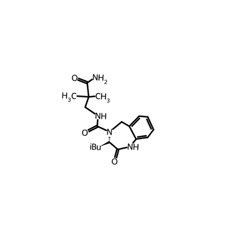 CC[C@H](C)[C@H]1C(=O)Nc2ccccc2CN1C(=O)NCC(C)(C)C(N)=O